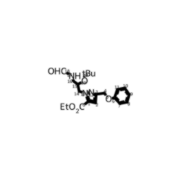 CCOC(=O)c1cc(COc2ccccc2)nn1CC(CNC=O)OC(C)(C)C